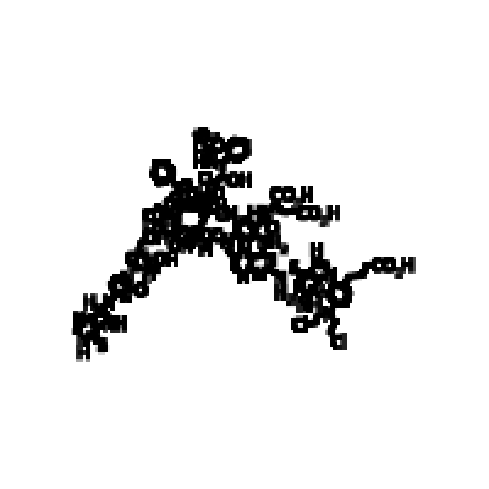 CC(=O)O[C@@]12CO[C@@H]1C[C@H](O)[C@@]1(C)C(=O)[C@H](O)C3=C(C)[C@@H](OC(=O)[C@H](O)[C@@H](NC(=O)OC(C)(C)C)c4ccccc4)C[C@@](O)([C@@H](OC(=O)c4ccccc4)[C@H]21)C3(C)C.CN(Cc1cnc2nc(N)nc(N)c2n1)c1ccc(C(=O)N[C@@H](CCC(=O)O)C(=O)O)cc1.Nc1ccn([C@@H]2O[C@H](CO)[C@@H](O)C2(F)F)c(=O)n1.Nc1nc(=S)c2[nH]cnc2[nH]1.O=C(O)CCCc1ccc(N(CCCl)CCCl)cc1.S=c1[nH]cnc2nc[nH]c12